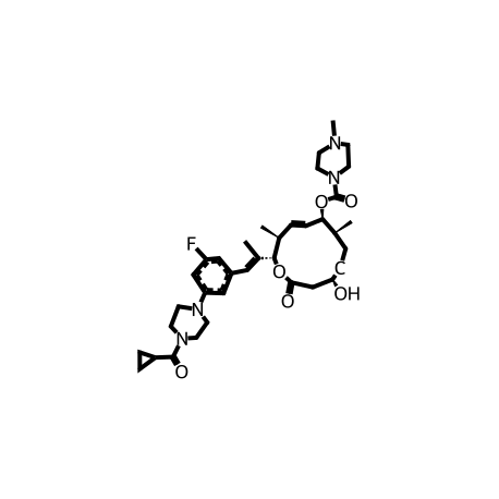 C/C(=C\c1cc(F)cc(N2CCN(C(=O)C3CC3)CC2)c1)[C@H]1OC(=O)C[C@H](O)CC[C@H](C)[C@H](OC(=O)N2CCN(C)CC2)/C=C/[C@@H]1C